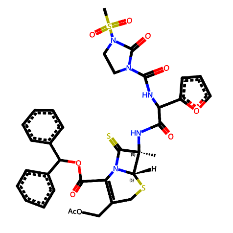 CC(=O)OCC1=C(C(=O)OC(c2ccccc2)c2ccccc2)N2C(=S)[C@@](C)(NC(=O)C(NC(=O)N3CCN(S(C)(=O)=O)C3=O)c3ccco3)[C@@H]2SC1